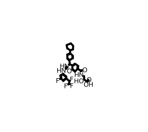 O=C(Nc1cc(F)cc(C(F)C(F)F)c1)NC(c1ccc(C(=O)NCC(O)C(=O)O)cc1)c1ccc(C2CCCCC2)cc1